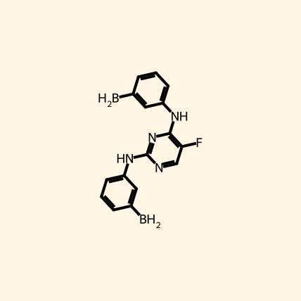 Bc1cccc(Nc2ncc(F)c(Nc3cccc(B)c3)n2)c1